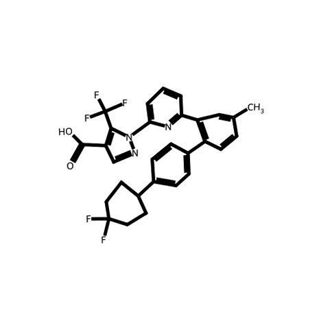 Cc1ccc(-c2ccc(C3CCC(F)(F)CC3)cc2)c(-c2cccc(-n3ncc(C(=O)O)c3C(F)(F)F)n2)c1